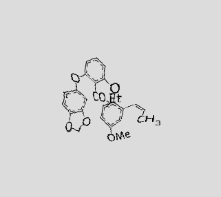 C/C=C\c1cc(OC)ccc1Oc1cccc(Oc2ccc3c(c2)OCO3)c1C(=O)OCC